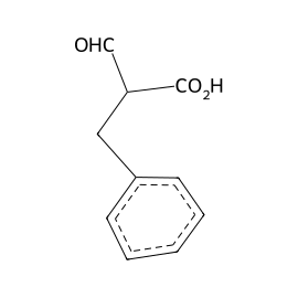 O=CC(Cc1ccccc1)C(=O)O